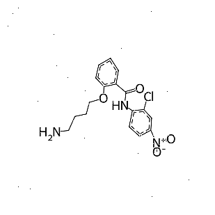 NCCCCOc1ccccc1C(=O)Nc1ccc([N+](=O)[O-])cc1Cl